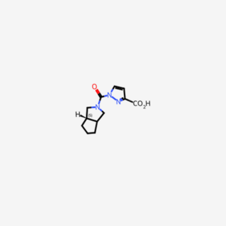 O=C(O)c1ccn(C(=O)N2CC3CCC[C@@H]3C2)n1